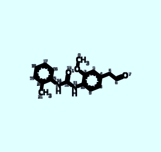 COc1cc(CC=O)ccc1NC(=O)Nc1ccccc1C